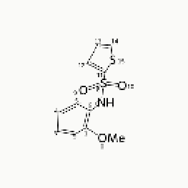 COc1ccc[c]c1NS(=O)(=O)c1cccs1